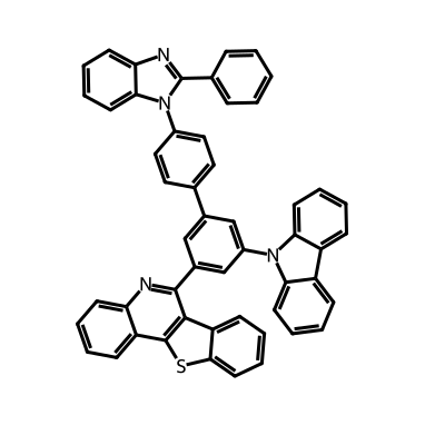 c1ccc(-c2nc3ccccc3n2-c2ccc(-c3cc(-c4nc5ccccc5c5sc6ccccc6c45)cc(-n4c5ccccc5c5ccccc54)c3)cc2)cc1